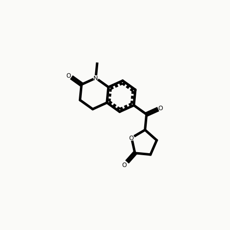 CN1C(=O)CCc2cc(C(=O)C3CCC(=O)O3)ccc21